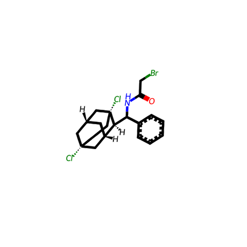 O=C(CBr)NC(c1ccccc1)[C@H]1[C@H]2C[C@@H]3C[C@](Cl)(C2)C[C@@]1(Cl)C3